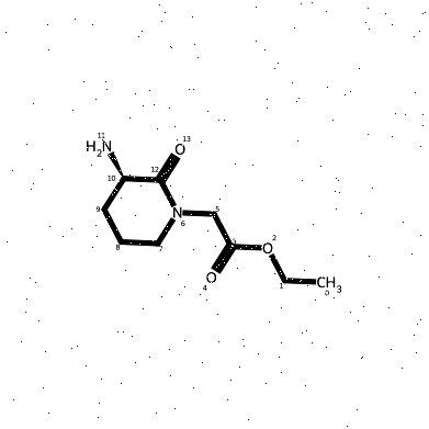 CCOC(=O)CN1CCC[C@@H](N)C1=O